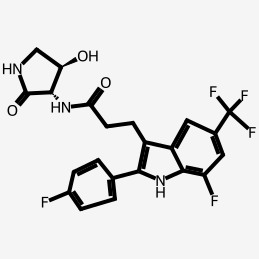 O=C(CCc1c(-c2ccc(F)cc2)[nH]c2c(F)cc(C(F)(F)F)cc12)N[C@@H]1C(=O)NC[C@H]1O